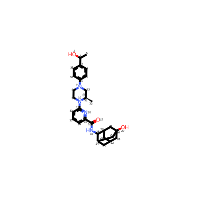 CC(O)c1ccc(N2CCN(c3cccc(C(=O)NC4C5CC6CC4CC(O)(C6)C5)n3)[C@H](C)C2)cc1